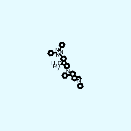 CC1(C)c2cc(-c3nc(-c4ccccc4)nc(-c4ccccc4)n3)ccc2-c2ccc(-n3c4ccccc4c4c5ccc6c(ccn6-c6ccccc6)c5ccc43)cc21